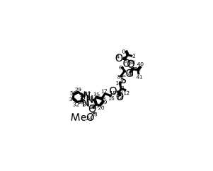 C=C(C)C(=O)OCC(CSCC(C)C(=O)OCCc1ccc(OCOC)c(-n2nc3ccccc3n2)c1)OC(=O)C(=C)C